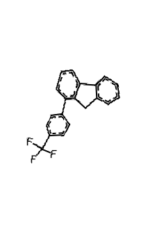 FC(F)(F)c1ccc(-c2cccc3c2Cc2ccccc2-3)cc1